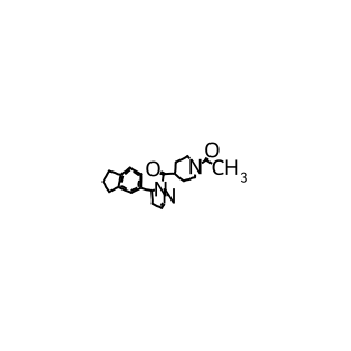 CC(=O)N1CCC(C(=O)N2N=CCC2c2ccc3c(c2)CCC3)CC1